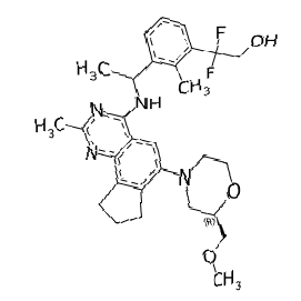 COC[C@H]1CN(c2cc3c(NC(C)c4cccc(C(F)(F)CO)c4C)nc(C)nc3c3c2CCC3)CCO1